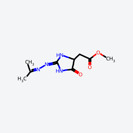 COC(=O)CC1N/C(=N/N=C(C)C)NC1=O